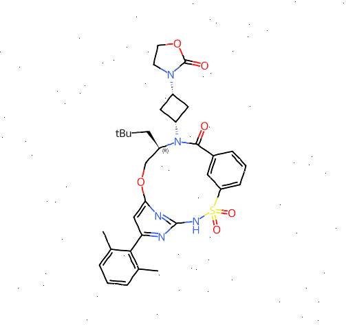 Cc1cccc(C)c1-c1cc2nc(n1)NS(=O)(=O)c1cccc(c1)C(=O)N([C@H]1C[C@@H](N3CCOC3=O)C1)[C@H](CC(C)(C)C)CO2